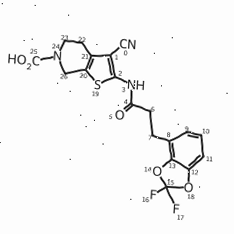 N#Cc1c(NC(=O)CCc2cccc3c2OC(F)(F)O3)sc2c1CCN(C(=O)O)C2